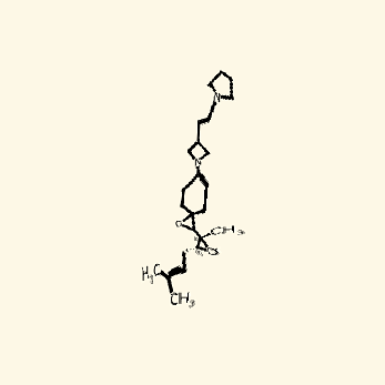 CC(C)=CC[C@H]1O[C@@]1(C)C1OC12CCC(N1CC(CCN3CCCC3)C1)CC2